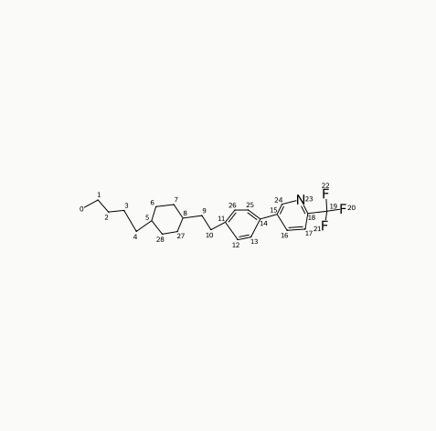 CCCCCC1CCC(CCc2ccc(-c3ccc(C(F)(F)F)nc3)cc2)CC1